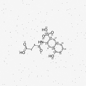 O=C(O)CCC(=O)Nc1cc2c(O)cccc2cc1S(=O)(=O)O